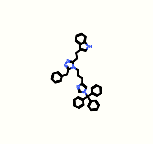 c1ccc(Cc2nnc(CCc3c[nH]c4ccccc34)n2CCCc2cn(C(c3ccccc3)(c3ccccc3)c3ccccc3)cn2)cc1